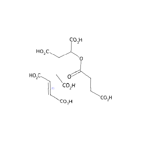 CC(=O)O.O=C(O)/C=C/C(=O)O.O=C(O)CCC(=O)OC(CC(=O)O)C(=O)O